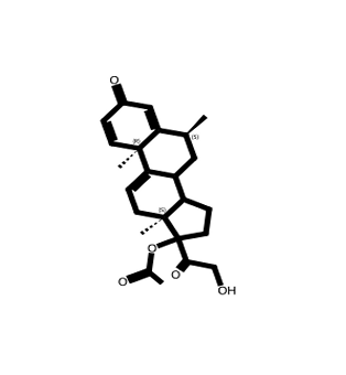 CC(=O)OC1(C(=O)CO)CCC2C3C[C@H](C)C4=CC(=O)C=C[C@]4(C)C3=CC[C@@]21C